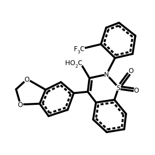 O=C(O)C1=C(c2ccc3c(c2)OCO3)c2ccccc2S(=O)(=O)N1c1ccccc1C(F)(F)F